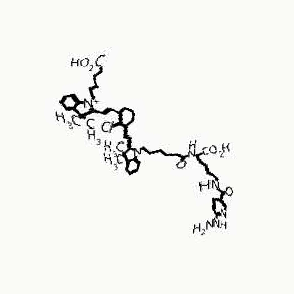 CC1(C)C(/C=C/C2=C(Cl)C(=C/C=C3/N(CCCCCC(=O)NC(CCCCNC(=O)c4ccc(NN)nc4)C(=O)O)c4ccccc4C3(C)C)/CCC2)=[N+](CCCCCC(=O)O)c2ccccc21